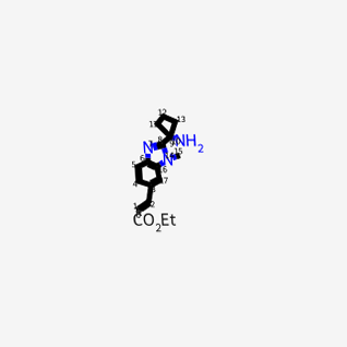 CCOC(=O)C=Cc1ccc2nc(C3(N)CCC3)n(C)c2c1